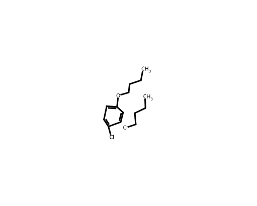 CCCCCl.CCCCOc1ccc(Cl)cc1